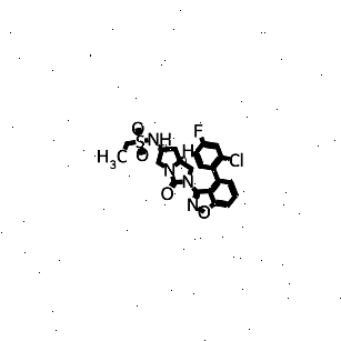 CCS(=O)(=O)N[C@H]1C[C@H]2CN(c3noc4cccc(-c5ccc(F)cc5Cl)c34)C(=O)N2C1